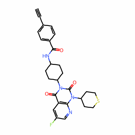 C#Cc1ccc(C(=O)NC2CCC(n3c(=O)c4cc(F)cnc4n(C4CCSCC4)c3=O)CC2)cc1